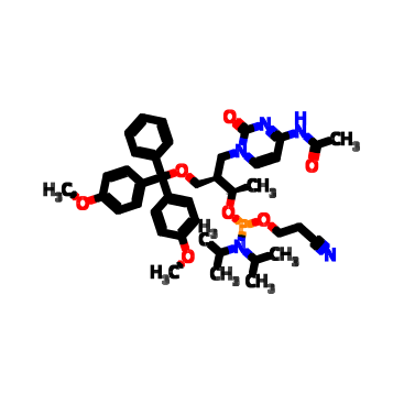 COc1ccc(C(OC[C@@H](Cn2ccc(NC(C)=O)nc2=O)[C@@H](C)OP(OCCC#N)N(C(C)C)C(C)C)(c2ccccc2)c2ccc(OC)cc2)cc1